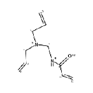 C=CCN(CC=C)CNC(=O)C=C